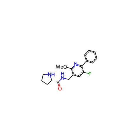 COc1nc(-c2ccccc2)c(F)cc1CNC(=O)[C@@H]1CCCN1